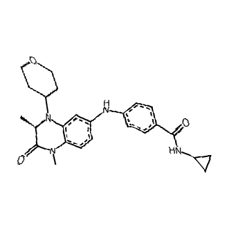 C[C@@H]1C(=O)N(C)c2ccc(Nc3ccc(C(=O)NC4CC4)cc3)cc2N1C1CCOCC1